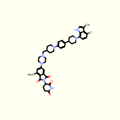 COc1cc(N2CCN(CC3CCN(c4ccc(C5CCN(c6ccc(Cl)c7c(C#N)c[nH]c67)CC5)cc4)CC3)CC2)cc2c1C(=O)N(C1CCC(=O)NC1=O)C2=O